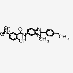 CCc1ccc(-c2nc3ccc(NC(=O)c4cc([N+](=O)[O-])ccc4Cl)cc3n2C)cc1